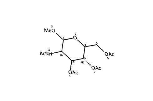 COC1OC(COC(C)=O)[C@H](OC(C)=O)C(OC(C)=O)C1NC(C)=O